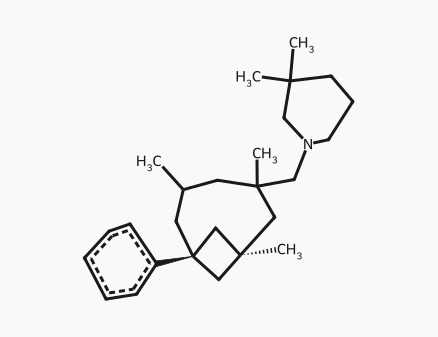 CC1CC(C)(CN2CCCC(C)(C)C2)C[C@]2(C)C[C@@](c3ccccc3)(C1)C2